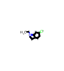 CCn1ccc2ccc(Cl)cc21